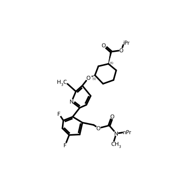 CCCN(C)C(=O)OCc1cc(F)cc(F)c1-c1ccc(O[C@H]2CCC[C@H](C(=O)OC(C)C)C2)c(C)n1